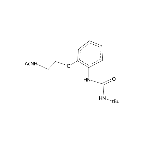 CC(=O)NCCOc1ccccc1NC(=O)NC(C)(C)C